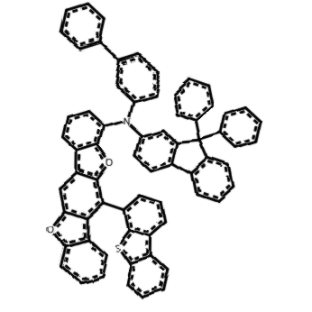 c1ccc(-c2cccc(N(c3ccc4c(c3)C(c3ccccc3)(c3ccccc3)c3ccccc3-4)c3cccc4c3oc3c(-c5cccc6c5sc5ccccc56)c5c(cc34)oc3ccccc35)c2)cc1